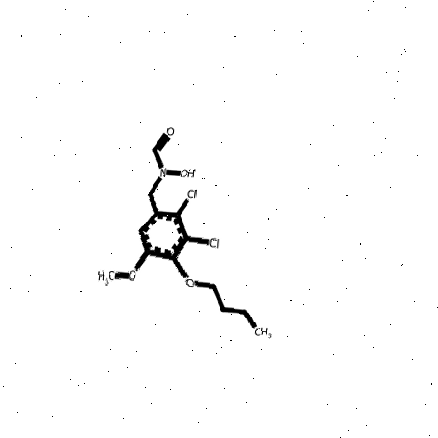 CCCCOc1c(OC)cc(CN(O)C=O)c(Cl)c1Cl